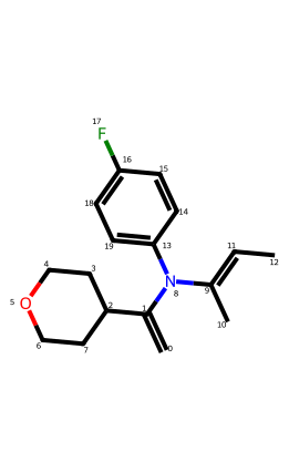 C=C(C1CCOCC1)N(/C(C)=C/C)c1ccc(F)cc1